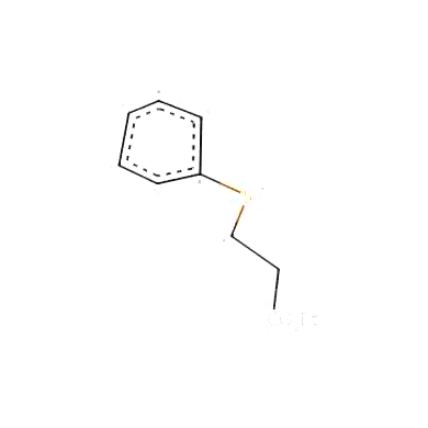 CCOC(=O)CCSc1ccccc1